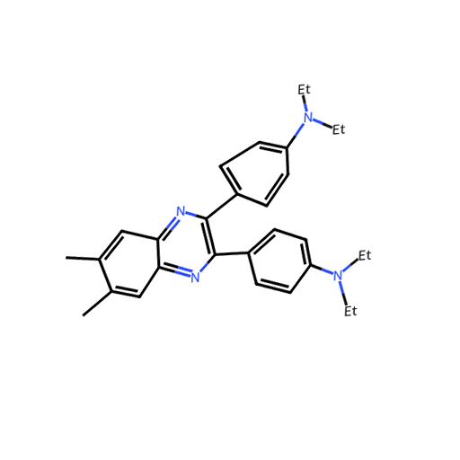 CCN(CC)c1ccc(-c2nc3cc(C)c(C)cc3nc2-c2ccc(N(CC)CC)cc2)cc1